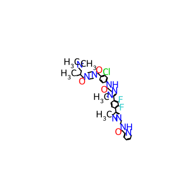 CCC(CCN(C)C)C(=O)N1CCN(C(=O)c2ccc(NC(=O)c3ncc(-c4ccc(-c5cn(CCNC(=O)c6ccccn6)nc5C)c(F)c4F)n3C)cc2Cl)CC1